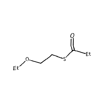 [CH2]COCCSC(=O)CC